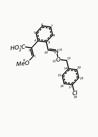 COC=C(C(=O)O)c1ccccc1C=NOCc1ccc(Cl)cc1